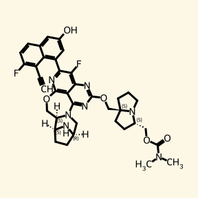 C#Cc1c(F)ccc2cc(O)cc(-c3nc4c5c(nc(OC[C@@]67CCCN6[C@H](COC(=O)N(C)C)CC7)nc5c3F)N3C[C@H]5CC[C@H](N5)[C@H]3CO4)c12